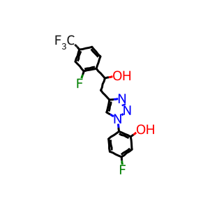 Oc1cc(F)ccc1-n1cc(CC(O)c2ccc(C(F)(F)F)cc2F)nn1